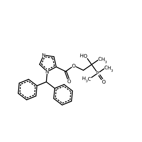 CC(O)(COC(=O)c1cncn1C(c1ccccc1)c1ccccc1)P(C)(C)=O